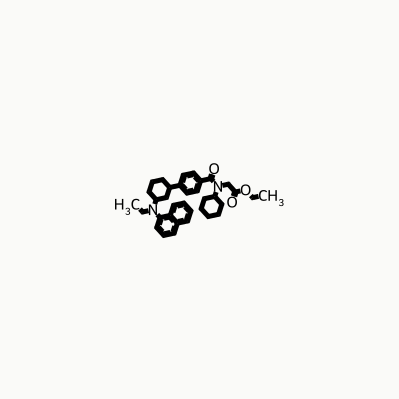 CCOC(=O)CN(C(=O)c1ccc(C2CCCC(N(CC)c3cccc4ccccc34)C2)cc1)C1CCCCC1